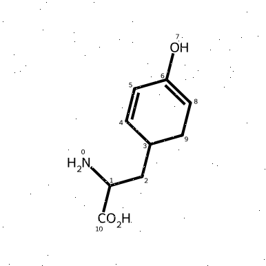 NC(CC1C=CC(O)=CC1)C(=O)O